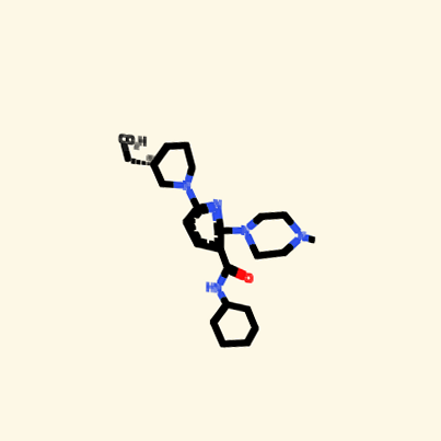 CN1CCN(c2nc(N3CCC[C@@H](CC(=O)O)C3)ccc2C(=O)NC2CCCCC2)CC1